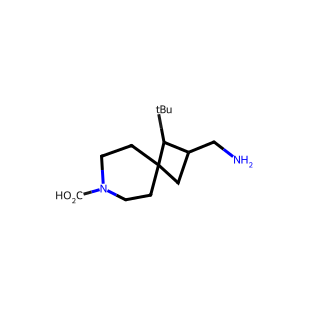 CC(C)(C)C1C(CN)CC12CCN(C(=O)O)CC2